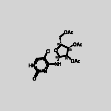 CC(=O)OC[C@H]1O[C@@H](Nc2nc(=O)[nH]cc2Cl)[C@H](OC(C)=O)[C@H]1OC(C)=O